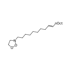 CCCCCCCCC=CCCCCCCCCN1CCOO1